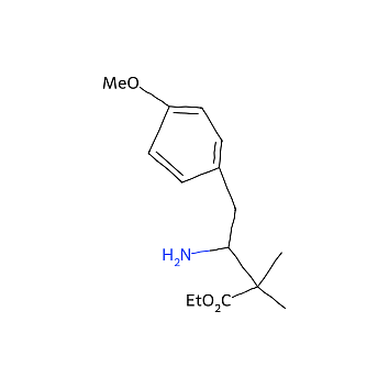 CCOC(=O)C(C)(C)C(N)Cc1ccc(OC)cc1